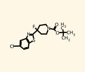 CC(C)(C)OC(=O)N1CCC(F)(c2nc3cc(Cl)ccc3s2)CC1